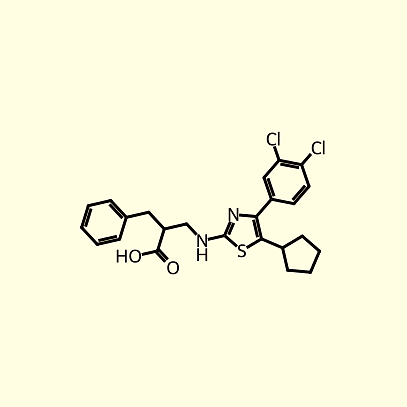 O=C(O)C(CNc1nc(-c2ccc(Cl)c(Cl)c2)c(C2CCCC2)s1)Cc1ccccc1